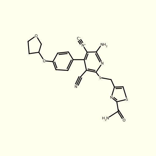 [C-]#[N+]c1c(N)nc(SCc2csc(C(N)=O)n2)c(C#N)c1-c1ccc(OC2CCOC2)cc1